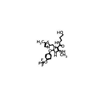 CNC1=C(C(=O)NCCCO)N(Cc2ncc(C)s2)C(Oc2ccc(OC(F)(F)F)cc2)N1